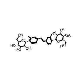 Cc1cc(C=Cc2ccc([C@H]3O[C@H](CO)[C@@H](O)[C@H](O)[C@@H]3O)c(C)c2)ccc1[C@H]1O[C@H](CO)[C@@H](O)[C@H](O)[C@@H]1O